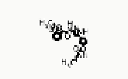 CCCNC(=O)OC1CC[C@H](c2cc(NC(=O)Cc3ccccc3S(=O)(=O)CC)n[nH]2)C1